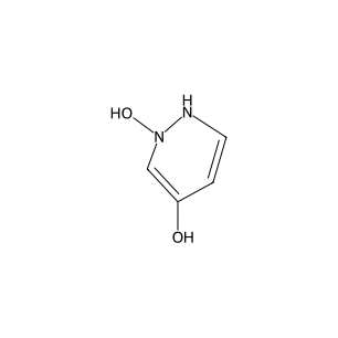 OC1=CN(O)NC=C1